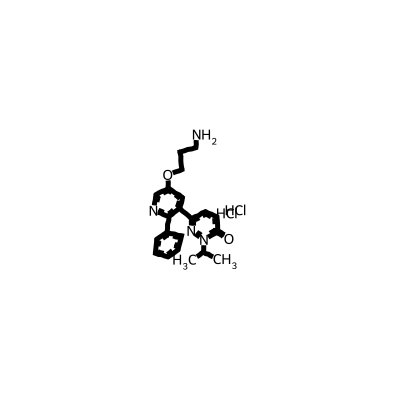 CC(C)n1nc(-c2cc(OCCCN)cnc2-c2ccccc2)ccc1=O.Cl.Cl